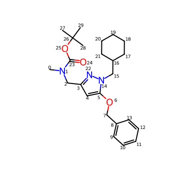 CN(Cc1cc(OCc2ccccc2)n(CC2CCCCC2)n1)C(=O)OC(C)(C)C